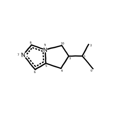 CC(C)C1Cc2cncn2C1